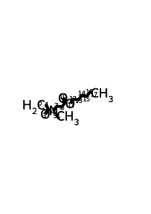 C=CC(=O)N(CC)CCC(=O)OCCCCCC